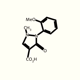 COc1ccccc1-n1c(=O)c(C(=O)O)cn1C